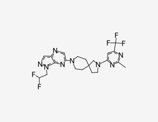 Cc1nc(N2CCC3(CCN(c4cnc5cnn(CC(F)F)c5n4)CC3)C2)cc(C(F)(F)F)n1